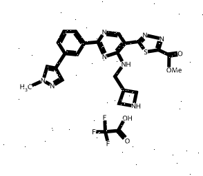 COC(=O)c1nnc(-c2cnc(-c3cccc(-c4cnn(C)c4)c3)nc2NCC2CNC2)s1.O=C(O)C(F)(F)F